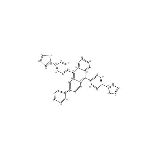 c1ccc(-c2ccc3c(-c4ccc(-c5nccs5)cc4)c4ccccc4c(-c4ccc(-c5nccs5)cc4)c3c2)cc1